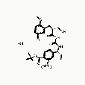 CC[C@@H](NC(=O)NC(=O)[C@@H](CN)Cc1cc(Cl)ccc1OC)c1ccc(C(=O)OC(C)(C)C)c([N+](=O)[O-])c1.Cl